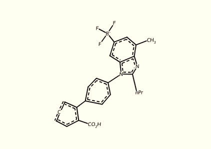 CCCc1nc2c(C)cc([B-](F)(F)F)cc2n1-c1ccc(-c2ccccc2C(=O)O)cc1